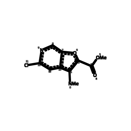 CNc1c(C(=O)OC)oc2cnc(Cl)cc12